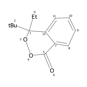 CCC1(C(C)(C)C)OOC(=O)c2ccccc21